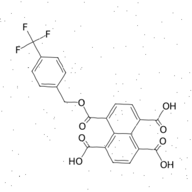 O=C(O)c1ccc(C(=O)O)c2c(C(=O)OCc3ccc(C(F)(F)F)cc3)ccc(C(=O)O)c12